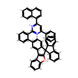 c1ccc(-c2cc(-c3cccc4ccccc34)nc(-c3ccccc3-c3ccc4c(c3)-c3c(oc5ccccc35)C43c4ccccc4-c4ccccc43)n2)cc1